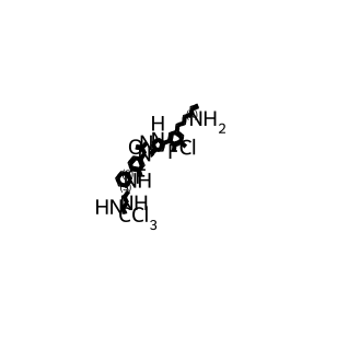 C=C[C@H](N)CCCc1cc(Cl)c(F)c(-c2cc3cn(-c4ccc([C@@H]5CCC[C@@H](CCNC(=N)C(Cl)(Cl)Cl)N5)c(F)c4)c(=O)nc3[nH]2)c1